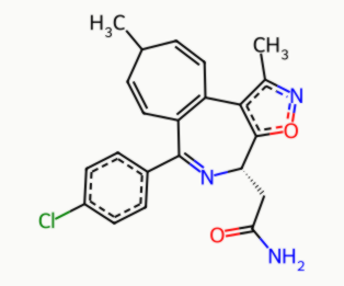 Cc1noc2c1C1=C(C=CC(C)C=C1)C(c1ccc(Cl)cc1)=N[C@H]2CC(N)=O